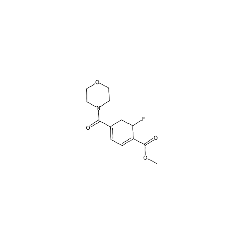 COC(=O)C1=CC=C(C(=O)N2CCOCC2)CC1F